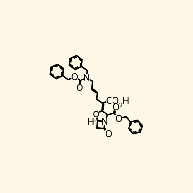 O=C(O)/C(C/C=C/CN(Cc1ccccc1)C(=O)OCc1ccccc1)=C1/O[C@@H]2CC(=O)N2C1C(=O)OCc1ccccc1